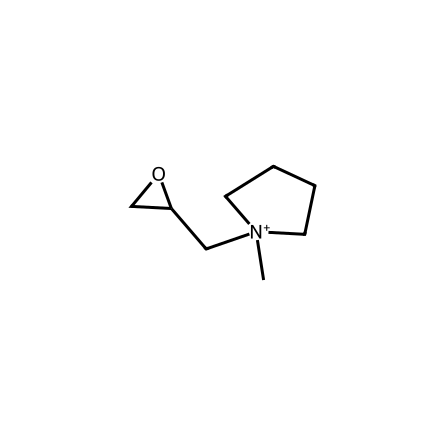 C[N+]1(CC2CO2)CCCC1